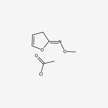 CC(=O)Cl.CON=C1CC=CO1